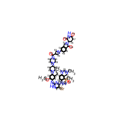 CCc1cc(Nc2ncc(Br)c(Nc3ccc4c(c3P(C)(C)=O)CN(C)C=N4)n2)c(OC)cc1N1CCC(N2CCN(C(=O)C3CN(c4ccc5c(c4)CN(C4CCC(=O)NC4=O)C5=O)C3)CC2)CC1